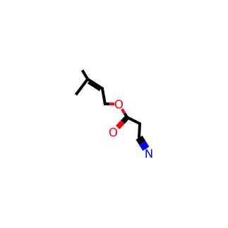 CC(C)=CCOC(=O)CC#N